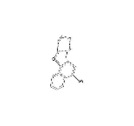 CC(C)c1cc2c3ccccc3oc2c2ccccc12